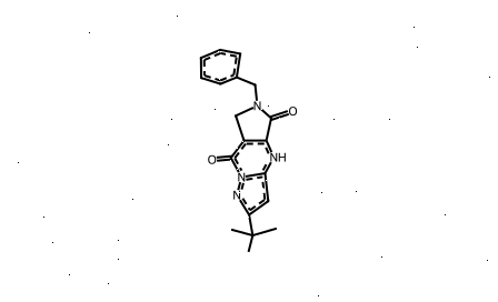 CC(C)(C)c1cc2[nH]c3c(c(=O)n2n1)CN(Cc1ccccc1)C3=O